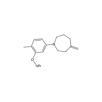 C=C1CCCN(c2ccc(C)c(OCCC)c2)CC1